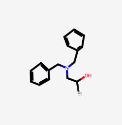 CCC(O)CN(Cc1ccccc1)Cc1ccccc1